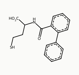 O=C(NC(CCS)C(=O)O)c1ccccc1-c1ccccc1